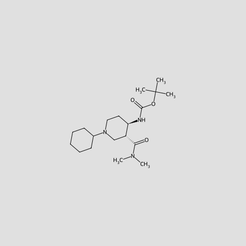 CN(C)C(=O)[C@@H]1CN(C2CCCCC2)CC[C@H]1NC(=O)OC(C)(C)C